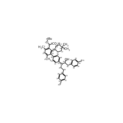 Cc1nc(C)c(C(OC(C)(C)C)C(=O)O)c(N2CCC(C)(C)CC2)c1-c1ccc(N(CCc2ccc(F)cc2)C(O)Cc2ccc(F)cc2)cc1